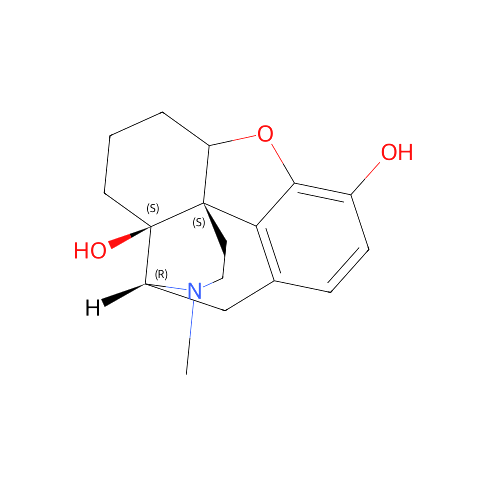 CN1CC[C@]23c4c5ccc(O)c4OC2CCC[C@@]3(O)[C@H]1C5